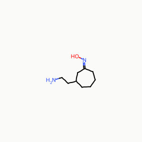 NCCC1CCCC/C(=N/O)C1